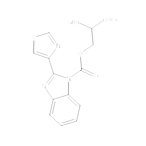 CCCCCCC(CCCC)COC(=O)n1c(-c2cscn2)nc2ccccc21